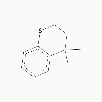 CC1(C)CCSc2ccc[c]c21